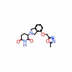 Cc1nnc(COc2cccc3c2CN(C2CCC(=O)NC2=O)C3)o1